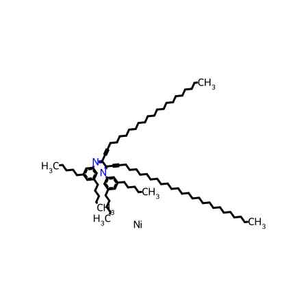 CCCCCCCCCCCCCCCCCCCCC#CC(=Nc1cc(CCCCC)cc(CCCCC)c1)C(C#CCCCCCCCCCCCCCCCCCCCCCCCCC)=Nc1cc(CCCCC)cc(CCCCC)c1.[Ni]